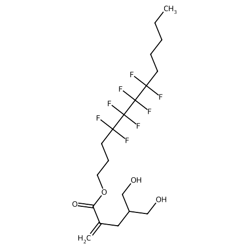 C=C(CC(CO)CO)C(=O)OCCCC(F)(F)C(F)(F)C(F)(F)C(F)(F)CCCCC